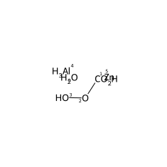 O.O=C(O)OO.[AlH3].[Zn]